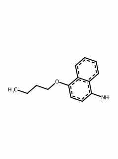 CCCCOc1ccc([NH])c2ccccc12